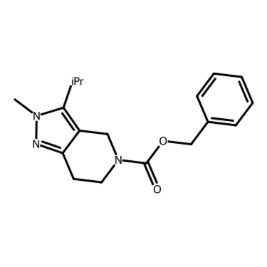 CC(C)c1c2c(nn1C)CCN(C(=O)OCc1ccccc1)C2